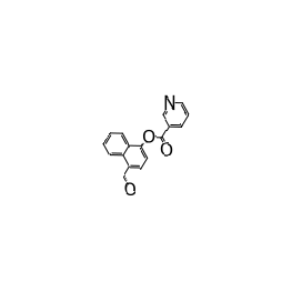 O=Cc1ccc(OC(=O)c2cccnc2)c2ccccc12